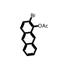 CC(=O)Oc1c(Br)ccc2cc3ccccc3cc12